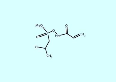 C=CC(=O)NOP(=O)(CC(C)Cl)OC